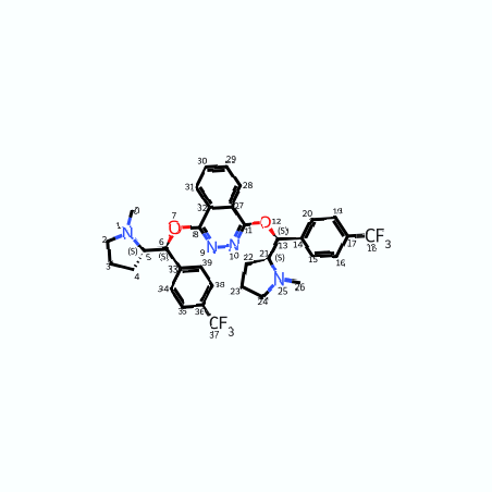 CN1CCC[C@H]1[C@@H](Oc1nnc(O[C@@H](c2ccc(C(F)(F)F)cc2)[C@@H]2CCCN2C)c2ccccc12)c1ccc(C(F)(F)F)cc1